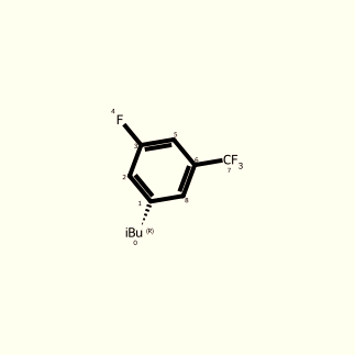 CC[C@@H](C)c1cc(F)cc(C(F)(F)F)c1